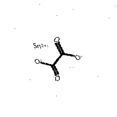 O=C([O-])C(=O)[O-].[Sn+2]